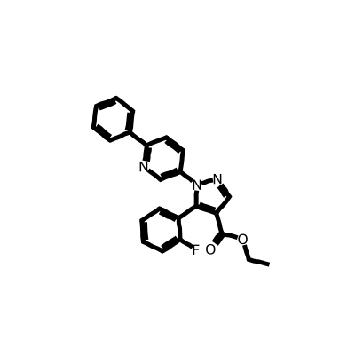 CCOC(=O)c1cnn(-c2ccc(-c3ccccc3)nc2)c1-c1ccccc1F